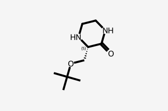 CC(C)(C)OC[C@@H]1NCCNC1=O